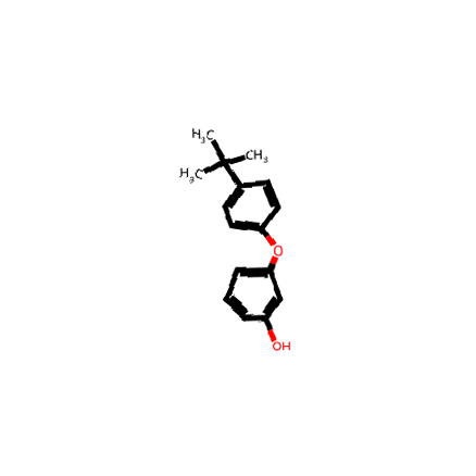 CC(C)(C)c1ccc(Oc2cccc(O)c2)cc1